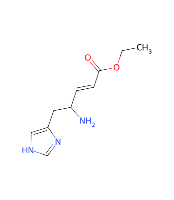 CCOC(=O)C=CC(N)Cc1c[nH]cn1